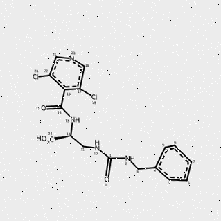 O=C(NCc1ccccc1)NC[C@H](NC(=O)c1c(Cl)cncc1Cl)C(=O)O